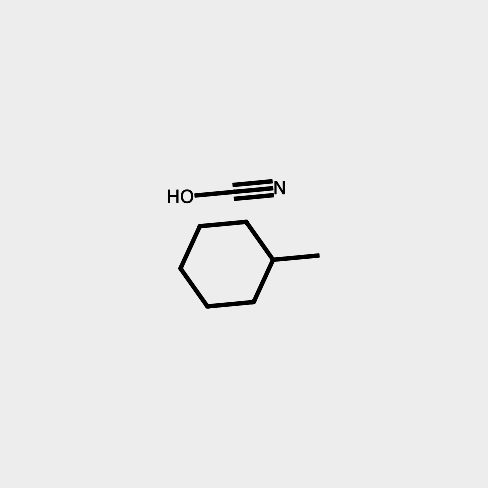 CC1CCCCC1.N#CO